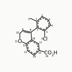 Cc1cccc(Cl)c1C1=CCOc2ccc(C(=O)O)cc21